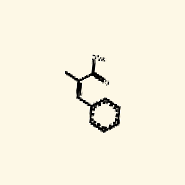 COC(=O)C(C)=Cc1ccccc1